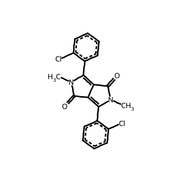 CN1C(=O)C2=C(c3ccccc3Cl)N(C)C(=O)C2=C1c1ccccc1Cl